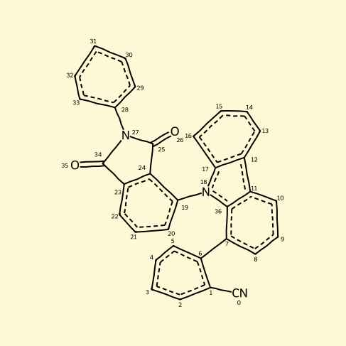 N#Cc1ccccc1-c1cccc2c3ccccc3n(-c3cccc4c3C(=O)N(c3ccccc3)C4=O)c12